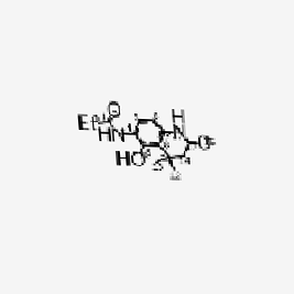 CCC(=O)Nc1ccc2c(c1O)C(C)(C)CC(=O)N2